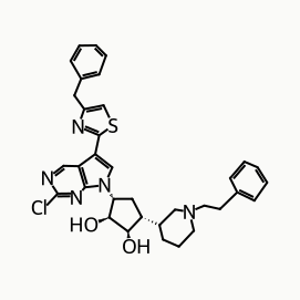 O[C@@H]1[C@H](O)[C@@H](C2CCCN(CCc3ccccc3)C2)C[C@H]1n1cc(-c2nc(Cc3ccccc3)cs2)c2cnc(Cl)nc21